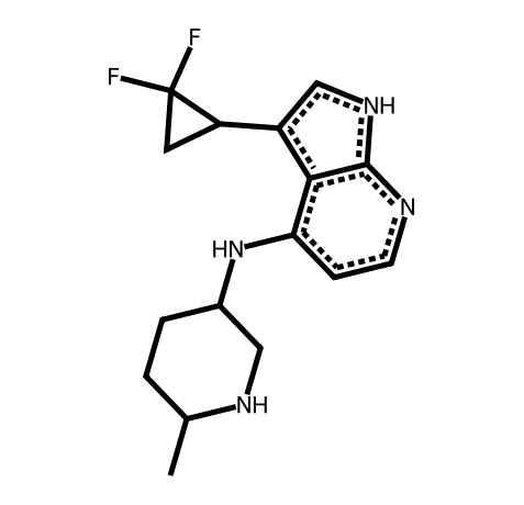 CC1CCC(Nc2ccnc3[nH]cc(C4CC4(F)F)c23)CN1